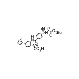 CC(C)(C)OC(=O)C1(/N=[SH](=O)/c2ccc(C(=O)Nc3cc(-c4cccs4)ccc3NC(=O)O)cc2)CC1